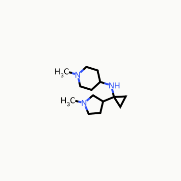 CN1CCC(NC2(C3CCN(C)C3)CC2)CC1